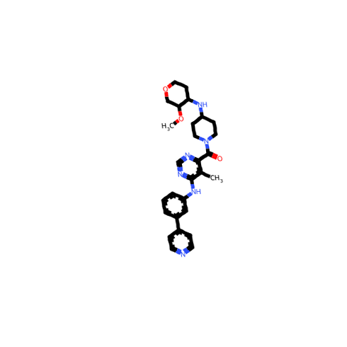 COC1COCCC1NC1CCN(C(=O)c2ncnc(Nc3cccc(-c4ccncc4)c3)c2C)CC1